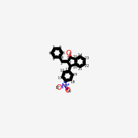 O=C1C(=Cc2ccccc2)C(c2ccc([N+](=O)[O-])cc2)c2ccccc21